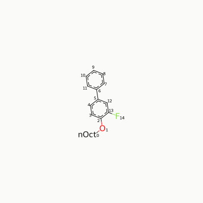 CCCCCCCCOc1ccc(-c2ccccc2)cc1F